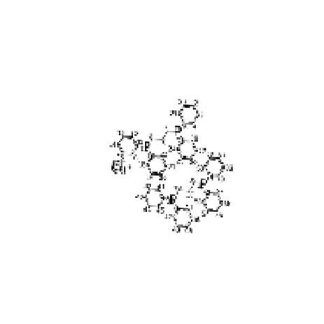 [Cl-].[Cu+].c1ccc(P(CCCP(c2ccccc2)c2ccccc2)c2ccccc2)cc1.c1ccc(P(CCCP(c2ccccc2)c2ccccc2)c2ccccc2)cc1